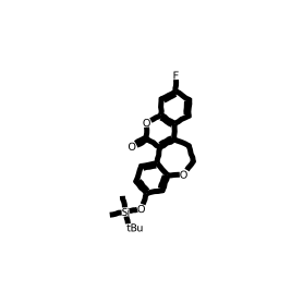 CC(C)(C)[Si](C)(C)Oc1ccc2c(c1)OCCc1c-2c(=O)oc2cc(F)ccc12